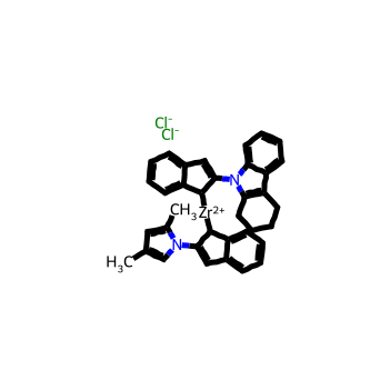 Cc1cc(C)n(C2=Cc3ccccc3[CH]2[Zr+2][CH]2C(n3c4c(c5ccccc53)CCCC4)=Cc3ccccc32)c1.[Cl-].[Cl-]